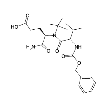 CC(C)[C@H](NC(=O)OCc1ccccc1)C(=O)N([C@H](CCC(=O)O)C(N)=O)C(C)(C)C